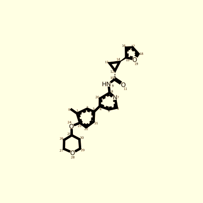 Cc1cc(-c2ccnc(NC(=O)[C@@H]3C[C@H]3c3ccco3)c2)ccc1OC1CCOCC1